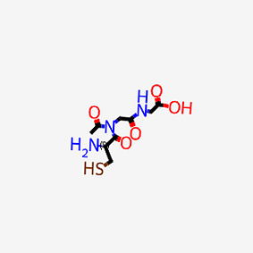 CC(=O)N(CC(=O)NCC(=O)O)C(=O)[C@@H](N)CS